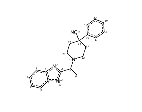 CC(c1nc2ccccc2[nH]1)N1CCC(C#N)(c2ccccc2)CC1